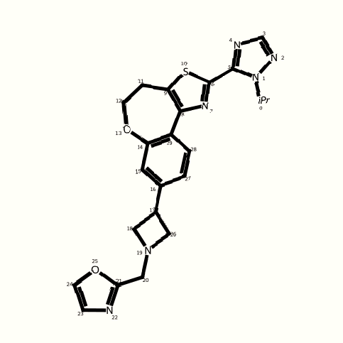 CC(C)n1ncnc1-c1nc2c(s1)CCOc1cc(C3CN(Cc4ncco4)C3)ccc1-2